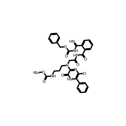 CC(C)(C)OC(=O)NCCCN(CC(=O)NC(=O)c1ccccc1C(=N)NC(=O)OCc1ccccc1)c1nc(Cl)c(-c2ccccc2)[nH]c1=O